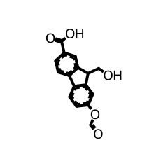 O=COc1ccc2c(c1)C(CO)c1cc(C(=O)O)ccc1-2